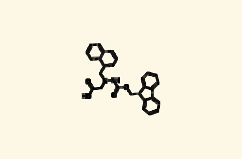 O=C(O)CN(Cc1cccc2ccccc12)NC(=O)OCC1c2ccccc2-c2ccccc21